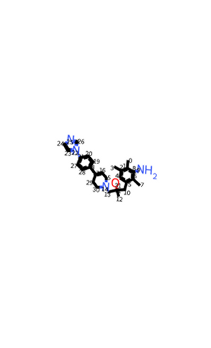 Cc1c(C)c2c(c(C)c1N)CC(C)(CN1CC=C(c3ccc(-n4ccnc4)cc3)CC1)O2